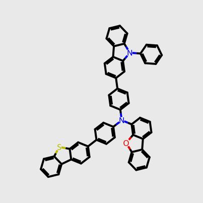 c1ccc(-n2c3ccccc3c3ccc(-c4ccc(N(c5ccc(-c6ccc7c(c6)sc6ccccc67)cc5)c5cccc6c5oc5ccccc56)cc4)cc32)cc1